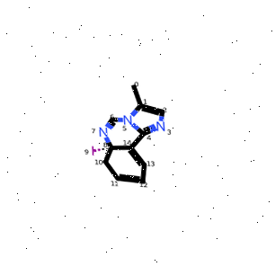 Cc1cnc2n1C=N[C@]1(I)CC=CC=C21